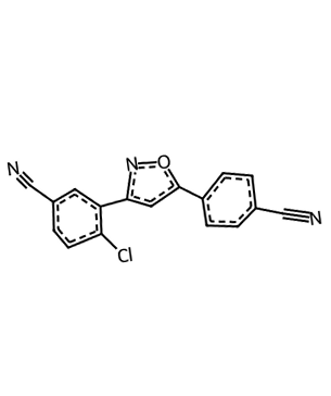 N#Cc1ccc(-c2cc(-c3cc(C#N)ccc3Cl)no2)cc1